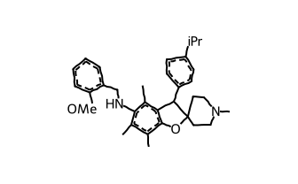 COc1ccccc1CNc1c(C)c(C)c2c(c1C)C(c1ccc(C(C)C)cc1)C1(CCN(C)CC1)O2